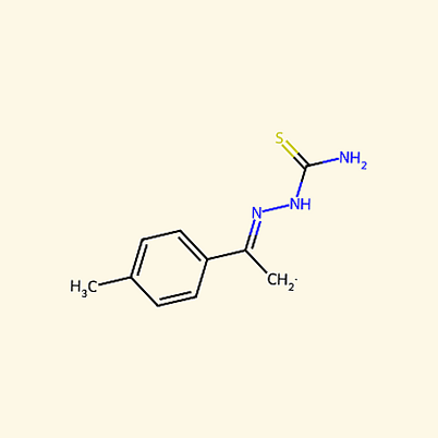 [CH2]C(=NNC(N)=S)c1ccc(C)cc1